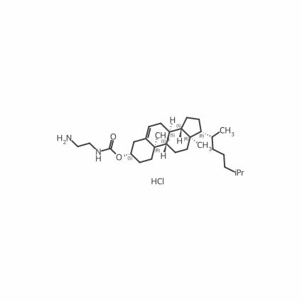 CC(C)CCCC(C)[C@H]1CC[C@H]2[C@@H]3CC=C4C[C@@H](OC(=O)NCCN)CC[C@]4(C)[C@H]3CC[C@]12C.Cl